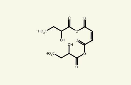 O=C(O)CC(O)C(=O)OC(=O)/C=C\C(=O)OC(=O)C(O)CC(=O)O